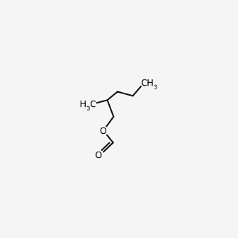 CCCC(C)COC=O